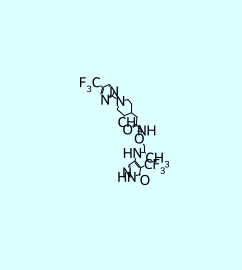 CC(CONC(=O)CC1CCN(c2ncc(C(F)(F)F)cn2)CC1C)Nc1cn[nH]c(=O)c1C(F)(F)F